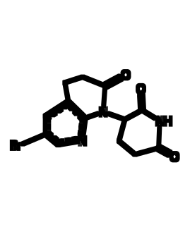 O=C1CCC(N2C(=O)CCc3cc(Br)cnc32)C(=O)N1